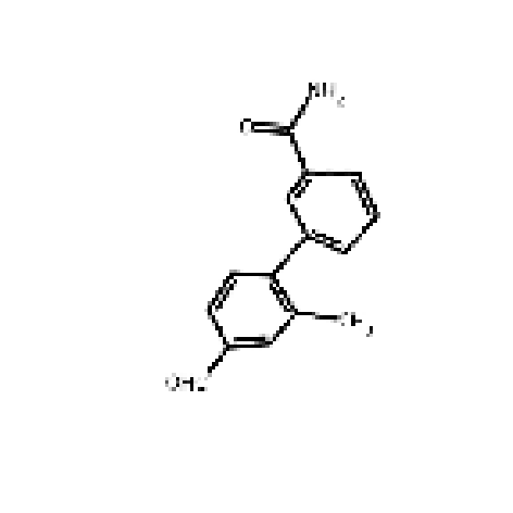 Cc1cc(C=O)ccc1-c1cccc(C(N)=O)c1